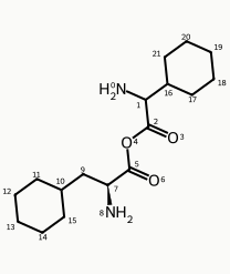 NC(C(=O)OC(=O)[C@@H](N)CC1CCCCC1)C1CCCCC1